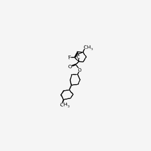 CC1CCC(C2CCC(OC(=O)C34CCC(C)(C=C3F)CC4)CC2)CC1